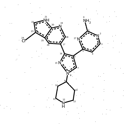 Nc1nccc(-c2cn(C3CCNCC3)nc2-c2cnc3[nH]cc(Cl)c3c2)n1